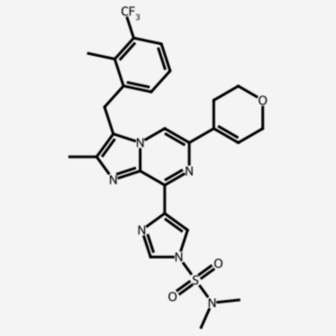 Cc1nc2c(-c3cn(S(=O)(=O)N(C)C)cn3)nc(C3=CCOCC3)cn2c1Cc1cccc(C(F)(F)F)c1C